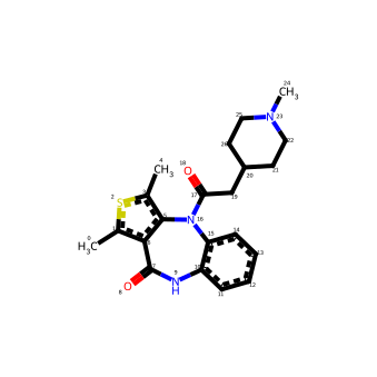 Cc1sc(C)c2c1C(=O)Nc1ccccc1N2C(=O)CC1CCN(C)CC1